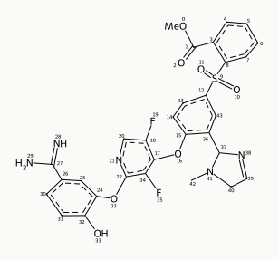 COC(=O)c1ccccc1S(=O)(=O)c1ccc(Oc2c(F)cnc(Oc3cc(C(=N)N)ccc3O)c2F)c(C2N=CCN2C)c1